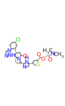 CN(C)C(=O)COC(=O)c1cc(-c2cnc([C@@H]3CCc4cc(-c5cc(Cl)ccc5-n5cn[nH]5)cc(=O)n43)[nH]2)cs1